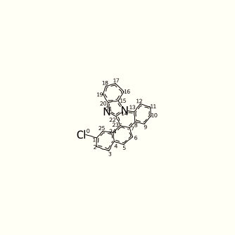 Clc1ccc2ccc3c4ccccc4n4c5ccccc5nc4c3c2c1